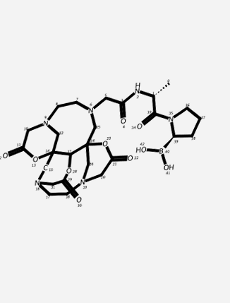 C[C@@H](NC(=O)CN1CCN2CC(=O)OC3(CN4CCN5CC(=O)OC(C1)(C5)C3OC(=O)C4)C2)C(=O)N1CCC[C@H]1B(O)O